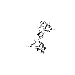 O=C(O)C(=Cn1cnc(-c2cc(C(F)(F)F)cc(S(F)(F)(F)(F)F)c2)n1)c1cncnc1